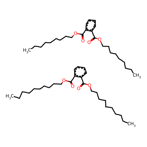 CCCCCCCCCCOC(=O)c1ccccc1C(=O)OCCCCCCCCCC.CCCCCCCCCOC(=O)c1ccccc1C(=O)OCCCCCCCCC